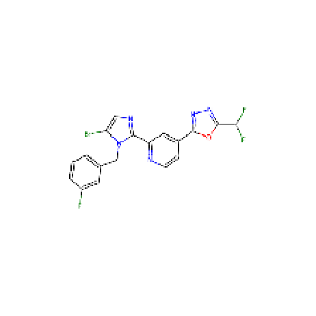 Fc1cccc(Cn2c(Br)cnc2-c2cc(-c3nnc(C(F)F)o3)ccn2)c1